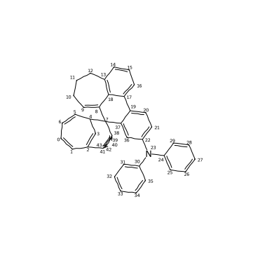 C1=CC2=CC(C=C1)C1(C3=CCCCc4cccc(c43)-c3ccc(N(c4ccccc4)c4ccccc4)cc31)c1ccccc12